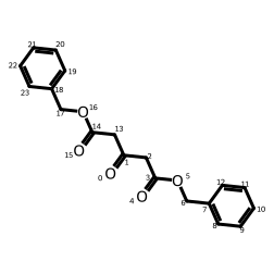 O=C(CC(=O)OCc1ccccc1)CC(=O)OCc1ccccc1